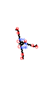 Cc1c(C(=O)NCCCCOCC2CO2)cc(C(=O)NCCCCOCC2CO2)cc1C(=O)NCCCCOCC1CO1